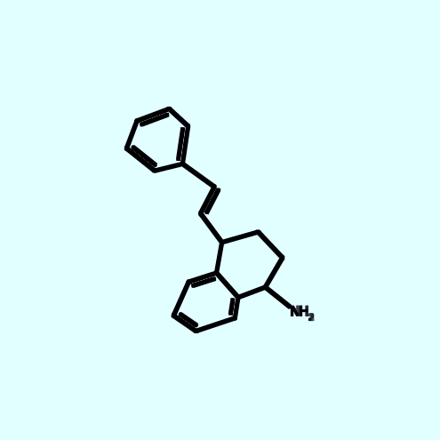 NC1CCC(/C=C/c2ccccc2)c2ccccc21